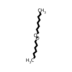 CCCCCCCCOOCCCCCCC